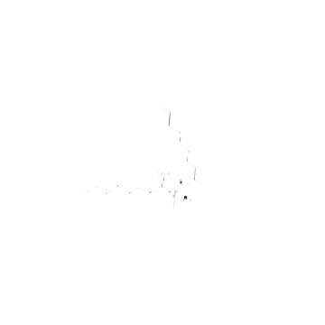 CCCCCCCCC(C)S(=O)(=O)NC(O)CCCCCCC